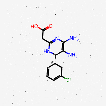 NC1=C(N)C([C@H]2C=CC=C(Cl)C2)NC(CC(=O)O)=N1